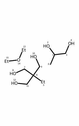 CC(O)CO.CCC(CO)(CO)CO.CCOCC